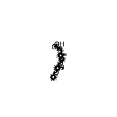 COc1cc(OCc2ccccc2)ccc1COc1ccc2c(c1)CCC(CN1CC(C(=O)O)C1)=C2C